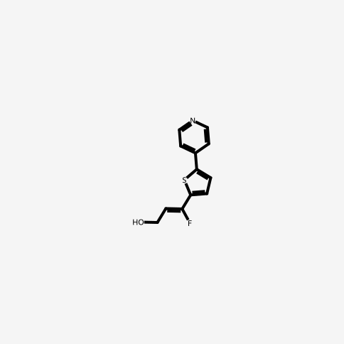 OCC=C(F)c1ccc(-c2ccncc2)s1